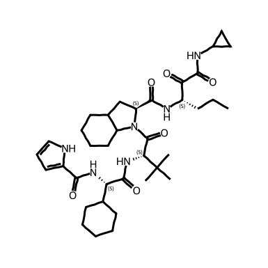 CCC[C@H](NC(=O)[C@@H]1CC2CCCCC2N1C(=O)[C@@H](NC(=O)[C@@H](NC(=O)c1ccc[nH]1)C1CCCCC1)C(C)(C)C)C(=O)C(=O)NC1CC1